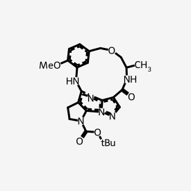 COc1ccc2cc1Nc1nc3c(cnn3c3c1CCN3C(=O)OC(C)(C)C)C(=O)NC(C)COC2